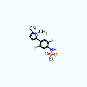 CCS(=O)(=O)Nc1cc(F)c(-c2ccc(C#N)n2C)cc1F